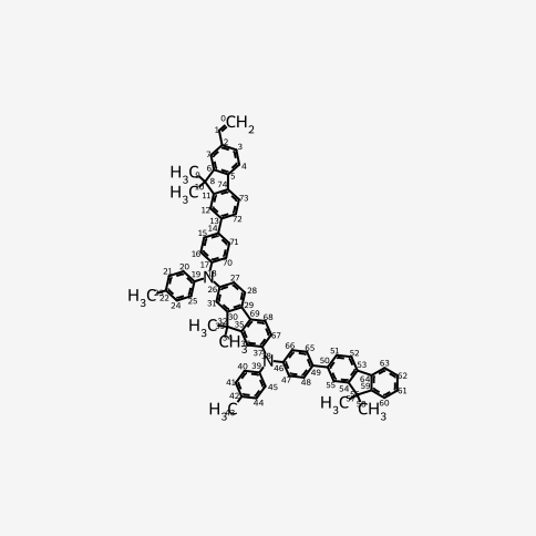 C=Cc1ccc2c(c1)C(C)(C)c1cc(-c3ccc(N(c4ccc(C)cc4)c4ccc5c(c4)C(C)(C)c4cc(N(c6ccc(C)cc6)c6ccc(-c7ccc8c(c7)C(C)(C)c7ccccc7-8)cc6)ccc4-5)cc3)ccc1-2